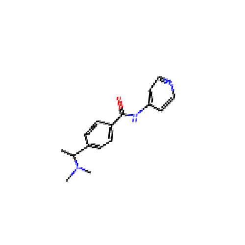 CC(c1ccc(C(=O)Nc2ccncc2)cc1)N(C)C